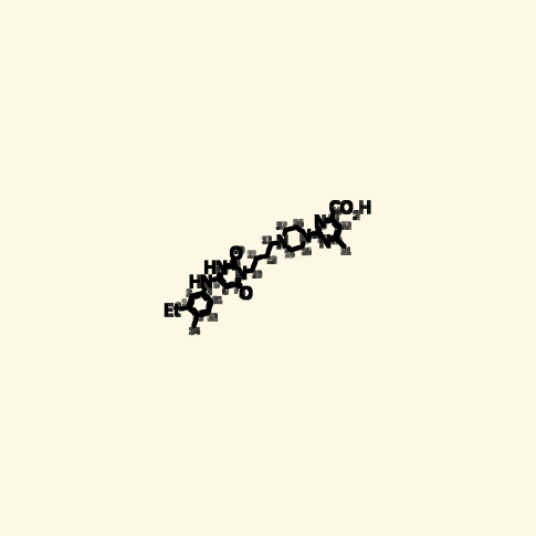 CCc1cc(Nc2cc(=O)n(CCCCN3CCN(c4nc(C)cc(C(=O)O)n4)CC3)c(=O)[nH]2)ccc1C